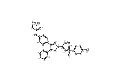 CCOC(=O)CC(=O)Nc1ccc(C2=NN(/C(=N/S(=O)(=O)c3ccc(Cl)cc3)SC)CC2c2ccccc2)cc1